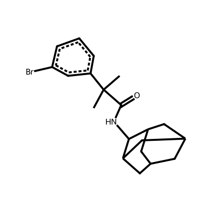 CC(C)(C(=O)NC1C2CC3CC(C2)CC1C3)c1cccc(Br)c1